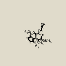 C#CCOCC(=O)N(c1c(C)cccc1CC)C(C)C(=O)OC